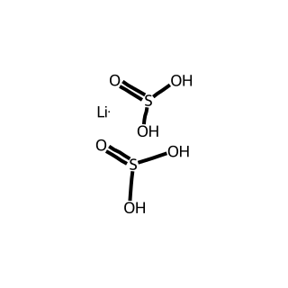 O=S(O)O.O=S(O)O.[Li]